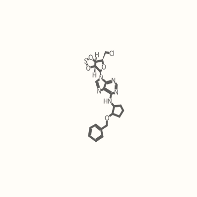 ClC[C@H]1O[C@@H](n2cnc3c(NC4CCCC4OCc4ccccc4)ncnc32)[C@@H]2OSO[C@@H]21